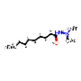 CCCCCCCCCCCCCCCCCC(=O)NN(CCC)OC(C)=O